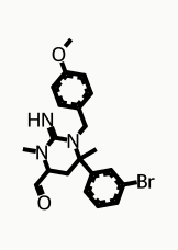 COc1ccc(CN2C(=N)N(C)C(C=O)CC2(C)c2cccc(Br)c2)cc1